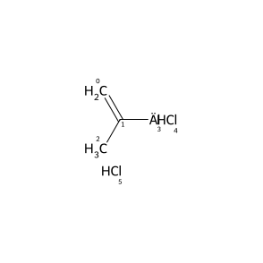 C=[C](C)[Al].Cl.Cl